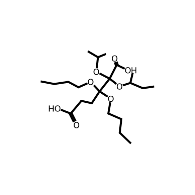 CCCCOC(CCC(=O)O)(OCCCC)C(OC(C)C)(OC(C)CC)C(=O)O